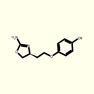 N#Cc1ccc(OCC[C@H]2COC(N)=N2)cc1